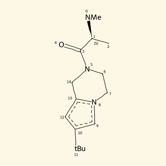 CN[C@@H](C)C(=O)N1CCn2cc(C(C)(C)C)cc2C1